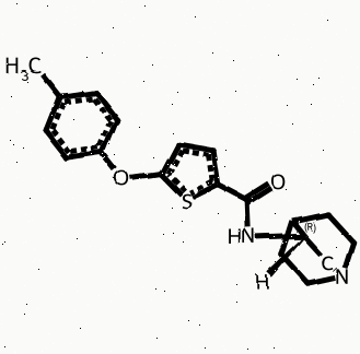 Cc1ccc(Oc2ccc(C(=O)N[C@H]3CN4CCC3CC4)s2)cc1